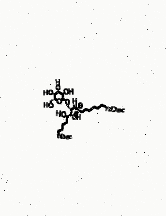 CCCCCCCCCCCCCCCCS(=O)(=O)N[C@@H](CO[C@@H]1O[C@H](CO)[C@H](O)[C@H](O)[C@H]1O)[C@H](O)[C@H](O)CCCCCCCCCCCCCC